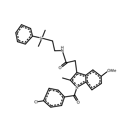 COc1ccc2c(c1)c(CC(=O)NCC[Si](C)(C)c1ccccc1)c(C)n2C(=O)c1ccc(Cl)cc1